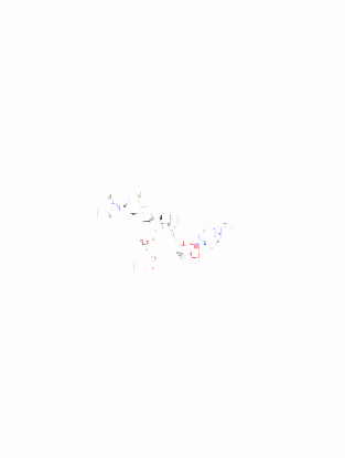 C/C(=C\c1cc(F)cc(N(C)C)c1)[C@H]1OC(=O)C[C@H](O)CC[C@H](C)[C@@H](OC(=O)N2CCN(C)CC2)/C=C/[C@@H]1C